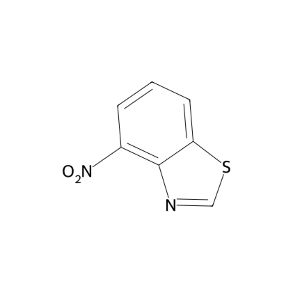 O=[N+]([O-])c1cccc2scnc12